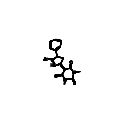 CC(=O)N1NC(=C2C(=O)N(C)C(=O)N(C)C2=O)CC1c1ccccc1